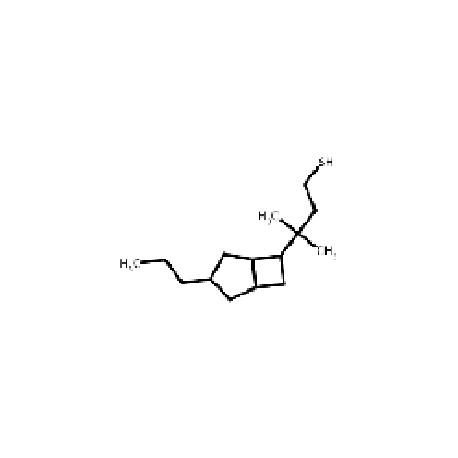 CCCC1CC2CC(C(C)(C)CCS)C2C1